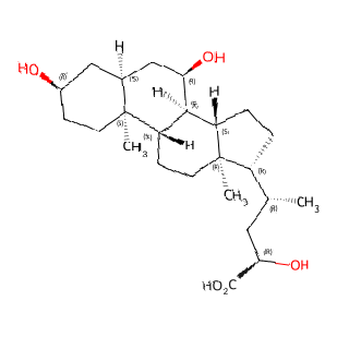 C[C@H](C[C@@H](O)C(=O)O)[C@H]1CC[C@H]2[C@@H]3[C@H](O)C[C@@H]4C[C@H](O)CC[C@]4(C)[C@H]3CC[C@]12C